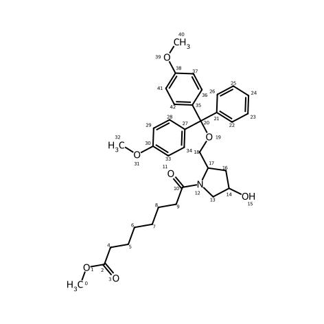 COC(=O)CCCCCCC(=O)N1CC(O)CC1COC(c1ccccc1)(c1ccc(OC)cc1)c1ccc(OC)cc1